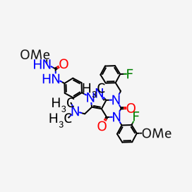 CONC(=O)Nc1ccc(-n2nc3c(c2CN(C)C)c(=O)n(-c2cccc(OC)c2F)c(=O)n3Cc2c(C)cccc2F)cc1